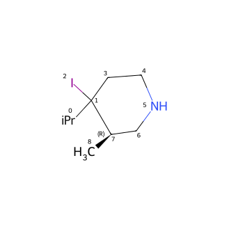 CC(C)C1(I)CCNC[C@H]1C